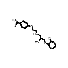 NC(=O)c1ccc(OCCNCC(O)COc2nccnc2Cl)cc1